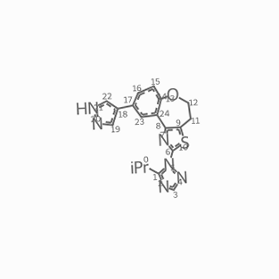 CC(C)c1ncnn1-c1nc2c(s1)CCOc1ccc(-c3cn[nH]c3)cc1-2